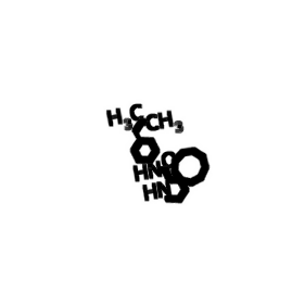 CC(C)C[C@H]1CC[C@H](NC(=O)C2NCCCC23CCCCCCCC3)CC1